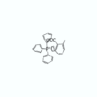 Cc1ccccc1C(=O)[O-].Cl[P+](c1ccccc1)(c1ccccc1)c1ccccc1